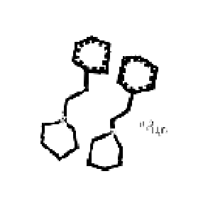 O.O.c1ccc(CCN2CCCCC2)cc1.c1ccc(CCN2CCCCC2)cc1